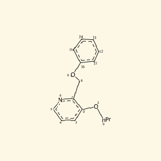 CCCOc1cccnc1COc1ccccc1